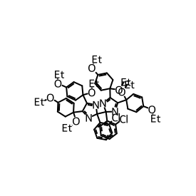 CCOC1=CCC(OCC)(C2=NC(c3ccccc3Cl)(C3(c4ccccc4Cl)N=C(C4(OCC)C=CC(OCC)=CC4)C(C4(OCC)C=CC(OCC)=CC4)=N3)N=C2C2(OCC)C=CC(OCC)=CC2)C=C1